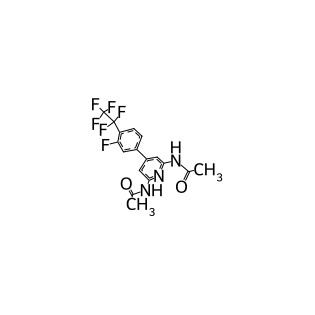 CC(=O)Nc1cc(-c2ccc(C(F)(F)C(F)(F)F)c(F)c2)cc(NC(C)=O)n1